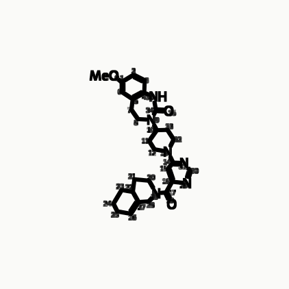 COc1ccc2c(c1)CCN(C1CCN(c3cc(C(=O)N4CCC5CCCC=C5C4)ncn3)CC1)C(=O)N2